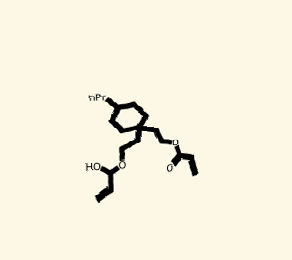 C=CC(=O)OCCC1(CCOC(O)C=C)CCC(CCC)CC1